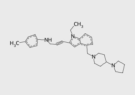 CCn1c(C#CCNc2ccc(C)cc2)cc2c(CN3CCC(N4CCCC4)CC3)cccc21